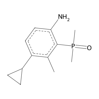 Cc1c(C2CC2)ccc(N)c1P(C)(C)=O